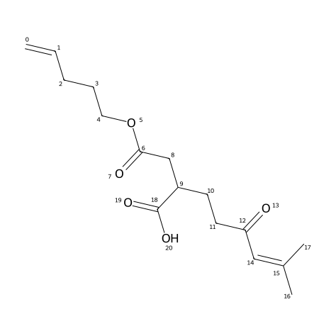 C=CCCCOC(=O)CC(CCC(=O)C=C(C)C)C(=O)O